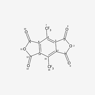 O=c1oc(=O)c2c(C(F)(F)F)c3c(=O)oc(=O)c3c(C(F)(F)F)c12